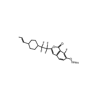 C/C=C/C1CCC(C(F)(F)C(F)(F)c2cc3ccc(OCCCCCC)c(F)c3c(=O)o2)CC1